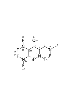 OC(C(CN(F)F)N(F)F)C(CN(F)F)N(F)F